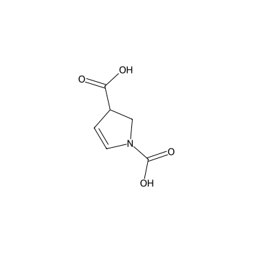 O=C(O)C1C=CN(C(=O)O)C1